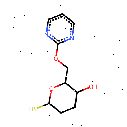 OC1CCC(S)OC1COc1ncccn1